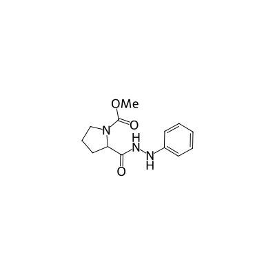 COC(=O)N1CCCC1C(=O)NNc1ccccc1